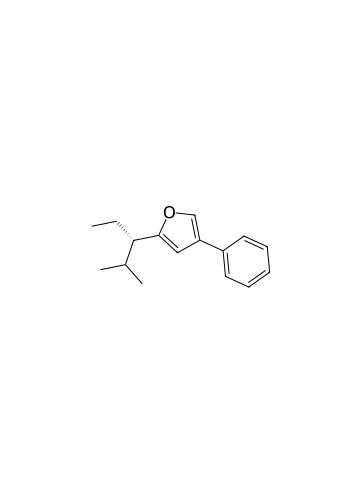 CC[C@H](c1cc(-c2ccccc2)co1)C(C)C